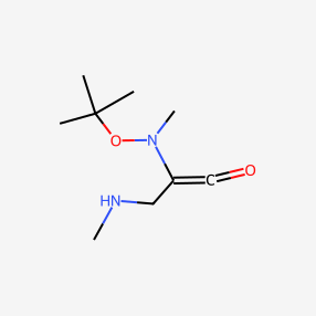 CNCC(=C=O)N(C)OC(C)(C)C